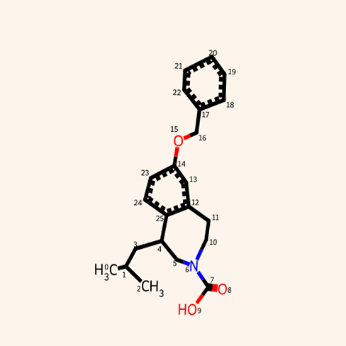 CC(C)CC1CN(C(=O)O)CCc2cc(OCc3ccccc3)ccc21